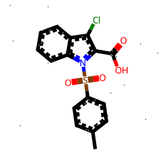 Cc1ccc(S(=O)(=O)n2c(C(=O)O)c(Cl)c3ccccc32)cc1